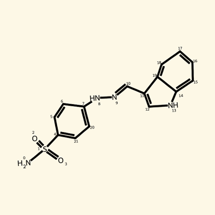 NS(=O)(=O)c1ccc(N/N=C/c2c[nH]c3ccccc23)cc1